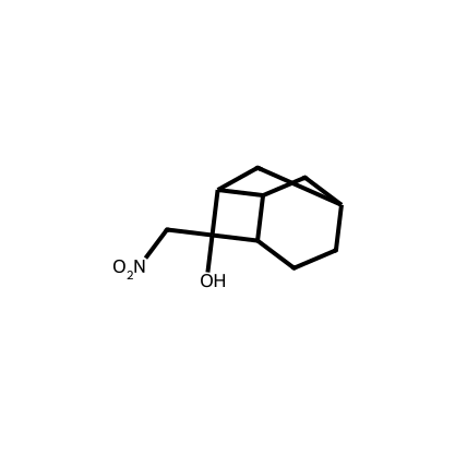 O=[N+]([O-])CC1(O)C2CCC3CC2C1C3